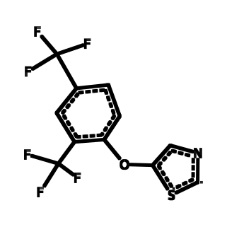 FC(F)(F)c1ccc(Oc2cn[c]s2)c(C(F)(F)F)c1